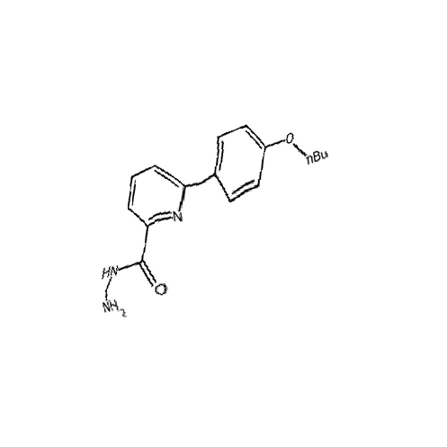 CCCCOc1ccc(-c2cccc(C(=O)NN)n2)cc1